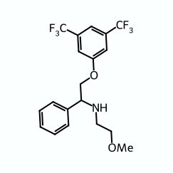 COCCNC(COc1cc(C(F)(F)F)cc(C(F)(F)F)c1)c1ccccc1